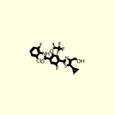 C[C@H](Oc1cc(-c2nc(CO)c(C3CC3)s2)c(F)cc1C(=O)Nc1c(F)cccc1Cl)C(F)(F)F